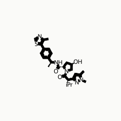 Cc1ncsc1-c1ccc([C@H](C)NC(=O)[C@@H]2C[C@@H](O)CN2C(=O)[C@H](c2cc(C)n(C)n2)C(C)C)cc1